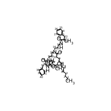 CCCCCCCCCCCC(=O)N(CCCNC(=O)[C@H](C)Cc1ccccc1)CCCNC(=O)[C@@H](Cc1ccccc1)NC(=O)OC(C)(C)C